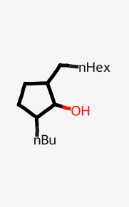 CCCCCCCC1CCC(CCCC)C1O